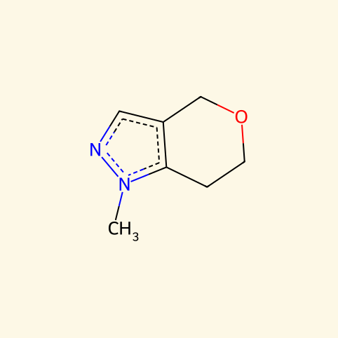 Cn1ncc2c1CCOC2